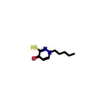 CCCCCn1ccc(=O)c(S)n1